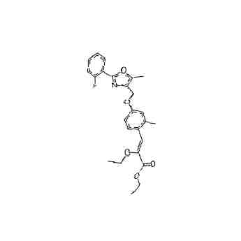 CCOC(=O)C(=Cc1ccc(OCc2nc(-c3ccccc3F)oc2C)cc1C)OCC